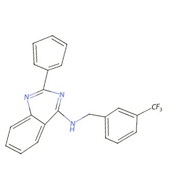 FC(F)(F)c1cccc(CNc2nc(-c3ccccc3)nc3ccccc23)c1